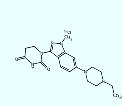 Cl.Cn1nc(N2CCC(=O)NC2=O)c2ccc(N3CCN(CC(=O)O)CC3)cc21